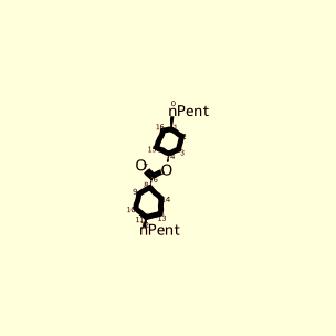 CCCCC[C@H]1CC[C@H](OC(=O)[C@H]2CC[C@H](CCCCC)CC2)CC1